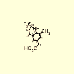 Cc1cc(CC(=O)O)cc2c1NC(C(F)(F)F)CC2